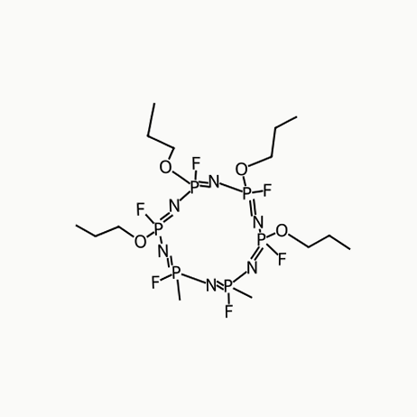 CCCOP1(F)=NP(C)(F)=NP(C)(F)=NP(F)(OCCC)=NP(F)(OCCC)=NP(F)(OCCC)=N1